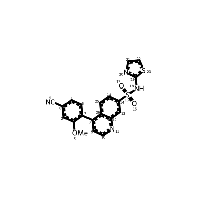 COc1cc(C#N)ccc1-c1ccnc2cc(S(=O)(=O)Nc3nccs3)ccc12